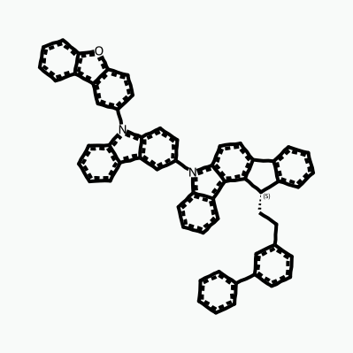 c1ccc(-c2cccc(CC[C@H]3c4ccccc4-c4ccc5c(c43)c3ccccc3n5-c3ccc4c(c3)c3ccccc3n4-c3ccc4oc5ccccc5c4c3)c2)cc1